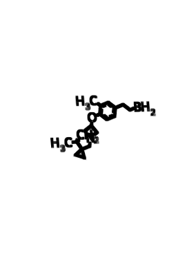 BCCc1ccc(OC2CN(CC3(C(=C)C)CC3)C2)c(C)c1